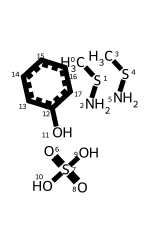 CSN.CSN.O=S(=O)(O)O.Oc1ccccc1